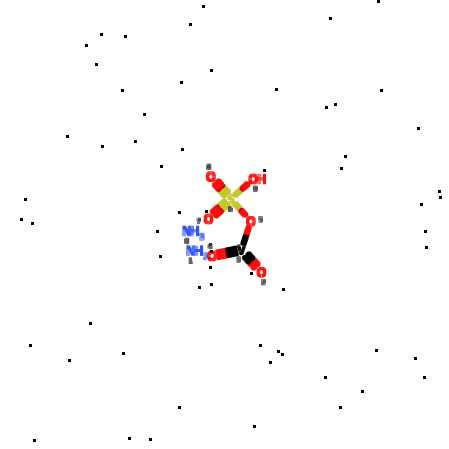 N.N.[O]=[V](=[O])[O]S(=O)(=O)O